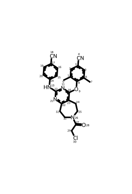 Cc1cc(C#N)cc(C)c1Oc1nc(Nc2ccc(C#N)cc2)nc2c1CCN(C(=O)CCl)CC2